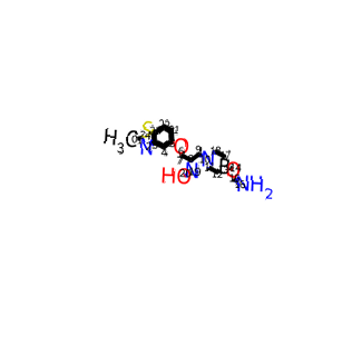 Cc1nc2cc(OC/C(CN3CCB(OCN)CC3)=N\O)ccc2s1